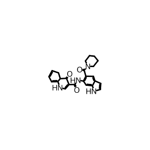 O=C(Nc1cc2[nH]ccc2cc1C(=O)N1CCCCC1)C1=CNC2=CC=CCC2C1=O